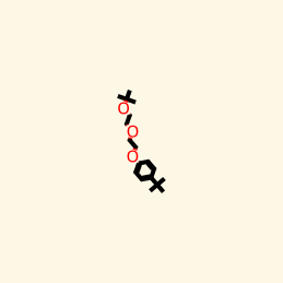 CC(C)(C)OCCOCCOc1ccc(C(C)(C)C)cc1